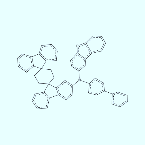 c1ccc(-c2ccc(N(c3ccc4c(c3)C3(CCC5(CC3)c3ccccc3-c3ccccc35)c3ccccc3-4)c3ccc4oc5ccccc5c4c3)cc2)cc1